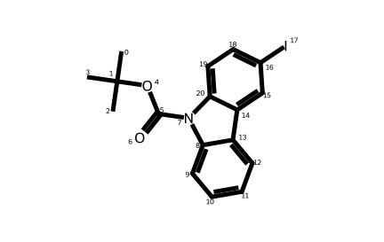 CC(C)(C)OC(=O)n1c2ccccc2c2cc(I)ccc21